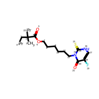 CC(C)CC(C)(C(=O)OCCCCCCn1c(=S)[nH]cc(F)c1=O)C(C)C